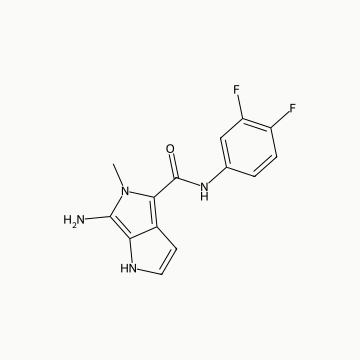 Cn1c(C(=O)Nc2ccc(F)c(F)c2)c2cc[nH]c2c1N